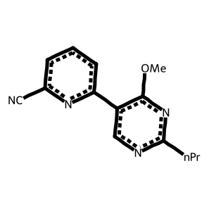 CCCc1ncc(-c2cccc(C#N)n2)c(OC)n1